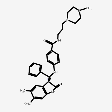 Cc1cc2c(cc1C=O)NC(=O)/C2=C(\Nc1ccc(C(=O)NCCCN2CCN(C)CC2)cc1)c1ccccc1